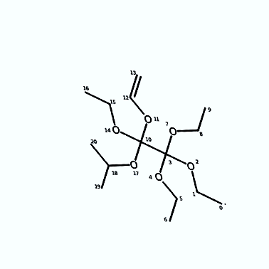 [CH2]COC(OCC)(OCC)C(OC=C)(OCC)OC(C)C